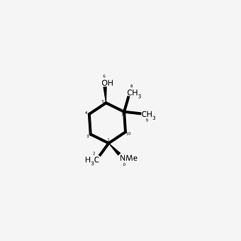 CN[C@@]1(C)CC[C@@H](O)C(C)(C)C1